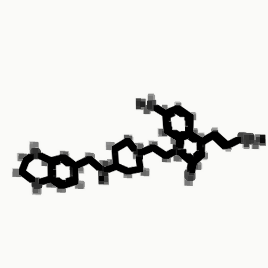 Cc1ccc2c(/C=C/C(=O)O)cc(=O)n(CCN3CCC(NCc4ccc5c(c4)OCCO5)CC3)c2c1